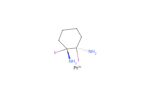 N[C@@]1(I)CCCC[C@@]1(N)I.[Pt+2]